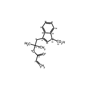 C=CC(=O)OC(C)(C)Cc1cn(C(=O)O)c2ccccc12